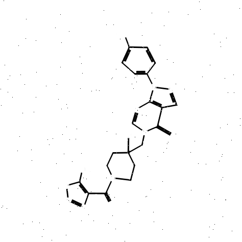 Cc1ccc(-n2ncc3c(=O)n(CC4(O)CCN(C(=O)c5nnsc5C)CC4)cnc32)cc1